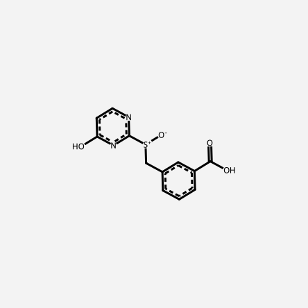 O=C(O)c1cccc(C[S+]([O-])c2nccc(O)n2)c1